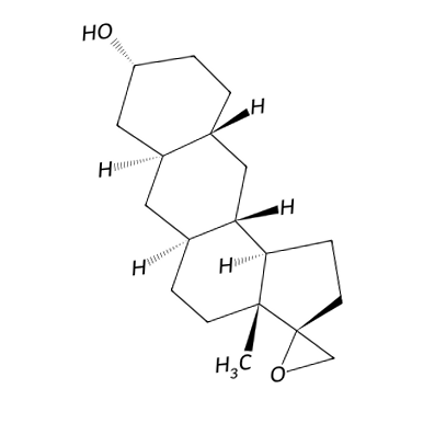 C[C@@]12CC[C@H]3C[C@H]4C[C@H](O)CC[C@@H]4C[C@@H]3[C@H]1CC[C@]21CO1